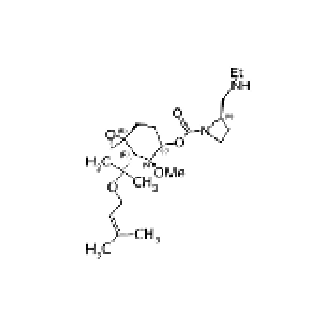 CCNC[C@H]1CCN1C(=O)O[C@@H]1CC[C@]2(CO2)[C@@H](C(C)(C)OCC=C(C)C)[C@@H]1OC